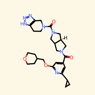 O=C(c1cc(OCC2CCOCC2)nc(C2CC2)c1)N1CC2CN(C(=O)N3CCc4[nH]nnc4C3)C[C@H]2C1